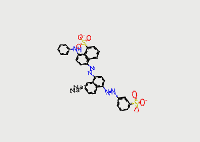 O=S(=O)([O-])c1cccc(N=Nc2ccc(N=Nc3ccc(Nc4ccccc4)c4c(S(=O)(=O)[O-])cccc34)c3ccccc23)c1.[Na+].[Na+]